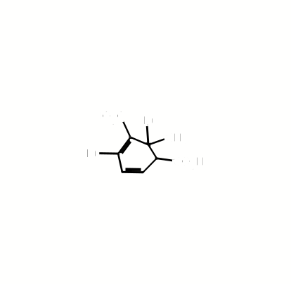 CCC1=C(C(=O)O)C(C)(CC)C(C(=O)O)C=C1